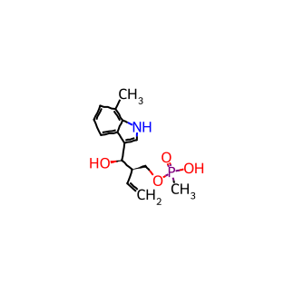 C=C[C@H](COP(C)(=O)O)[C@@H](O)c1c[nH]c2c(C)cccc12